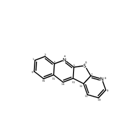 c1ccc2nc3sc4ncccc4c3cc2c1